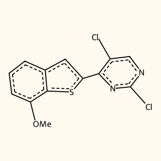 COc1cccc2cc(-c3nc(Cl)ncc3Cl)sc12